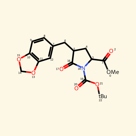 COC(=O)C1CC(Cc2ccc3c(c2)OCO3)C(=O)N1C(=O)OC(C)(C)C